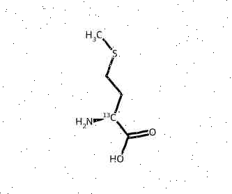 CSCC[13C@H](N)C(=O)O